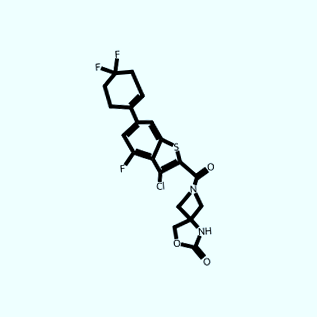 O=C1NC2(CO1)CN(C(=O)c1sc3cc(C4=CCC(F)(F)CC4)cc(F)c3c1Cl)C2